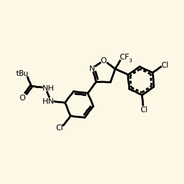 CC(C)(C)C(=O)NNC1C=C(C2=NOC(c3cc(Cl)cc(Cl)c3)(C(F)(F)F)C2)C=CC1Cl